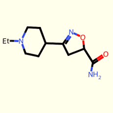 CCN1CCC(C2=NOC(C(N)=O)C2)CC1